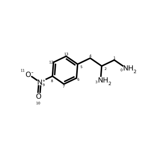 NCC(N)Cc1ccc([N+](=O)[O-])cc1